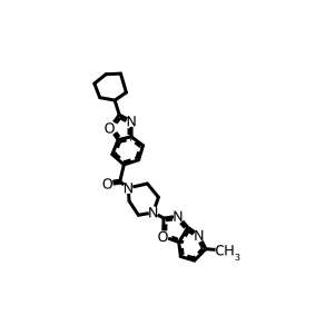 Cc1ccc2oc(N3CCN(C(=O)c4ccc5nc(C6CCCCC6)oc5c4)CC3)nc2n1